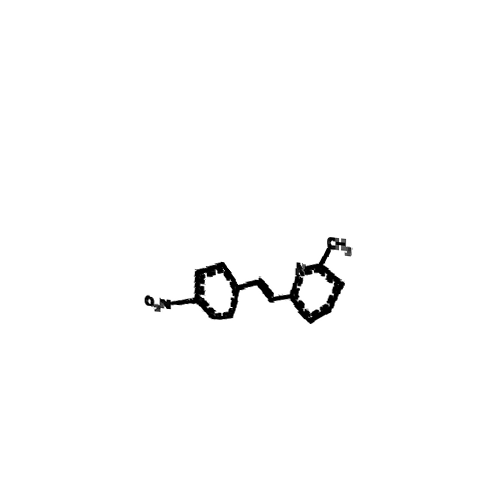 Cc1cccc(C=Cc2ccc([N+](=O)[O-])cc2)n1